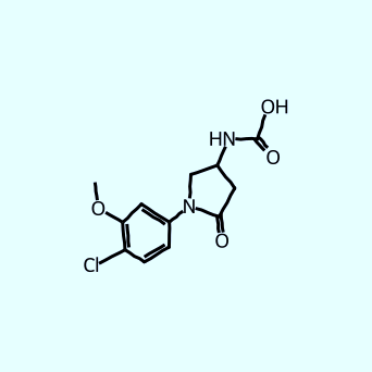 COc1cc(N2CC(NC(=O)O)CC2=O)ccc1Cl